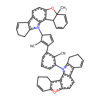 CC12C=CC=CC1c1c(ccc3c4c(n(C5C=CC(c6cccc(-n7c8c(c9ccc%10oc%11c(c%10c97)CCC=C%11)C=CCC8)c6C#N)=C5C#N)c13)CCC=C4)O2